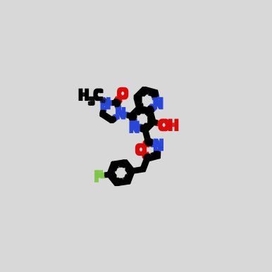 CN1CCN(c2nc(-c3ncc(Cc4ccc(F)cc4)o3)c(O)c3ncccc23)C1=O